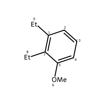 CCc1c[c]cc(OC)c1CC